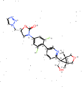 O=C1O[C@@H](Cn2ccnn2)CN1c1cc(F)c(-c2ccc([C@@]3(CO)[C@@H]4COC[C@@H]43)nc2)c(F)c1